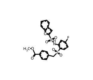 COC(=O)c1ccc(CS(=O)(=O)c2ccc(F)cc2NS(=O)(=O)c2cc3ccccc3o2)cc1